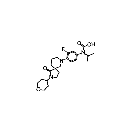 CC(C)N(C(=O)O)c1ccc(N2CCC[C@]3(CCN(C4CCOCC4)C3=O)C2)c(F)c1